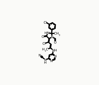 C/C(=C\C(Cl)=C1\C(=O)NC(C)(c2cccc(Cl)c2)N1C=O)Nc1cc(NC#N)ncn1